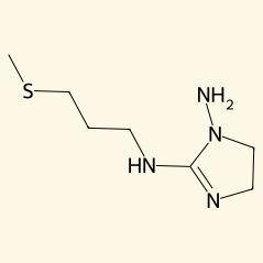 CSCCCNC1=NCCN1N